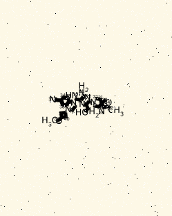 COC1CC(N2CCN(C(=N)c3nc(CO)c(N4CCC5(CC4)CO[C@@H](C)[C@H]5N)nc3N)c3ccc(C#N)cc32)C1